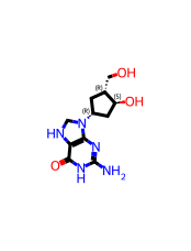 Nc1nc2c(c(=O)[nH]1)NCN2[C@@H]1C[C@H](CO)[C@@H](O)C1